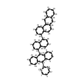 c1cnc(-c2c3ccccc3c(-c3cccc4c(-c5cccc6c5ccc5cc7ccccc7cc56)cccc34)c3ccccc23)nc1